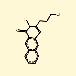 O=C1c2cc3ccccc3nc2C=C(CCCCl)C1Cl